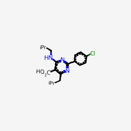 CC(C)CNc1nc(-c2ccc(Cl)cc2)nc(CC(C)C)c1C(=O)O